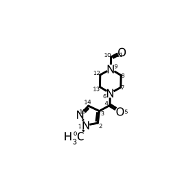 Cn1cc(C(=O)N2CCN(C=O)CC2)cn1